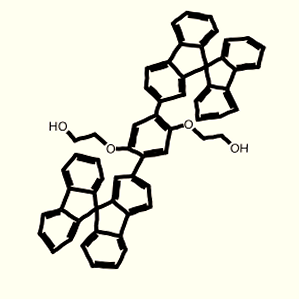 OCCOc1cc(-c2ccc3c(c2)C2(c4ccccc4-c4ccccc42)c2ccccc2-3)c(OCCO)cc1-c1ccc2c(c1)C1(c3ccccc3-c3ccccc31)c1ccccc1-2